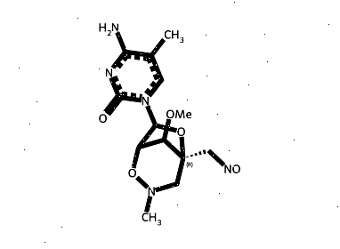 COC1C2ON(C)C[C@]1(CN=O)OC2n1cc(C)c(N)nc1=O